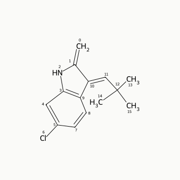 C=c1[nH]c2cc(Cl)ccc2/c1=C\C(C)(C)C